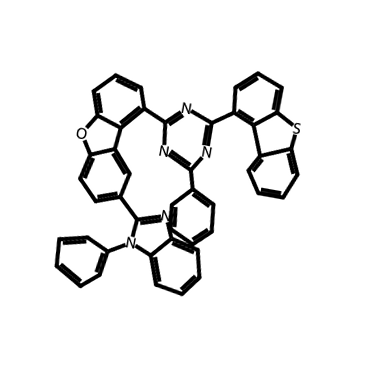 c1ccc(-c2nc(-c3cccc4oc5ccc(-c6nc7ccccc7n6-c6ccccc6)cc5c34)nc(-c3cccc4sc5ccccc5c34)n2)cc1